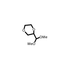 COC(OC)C1COCCO1